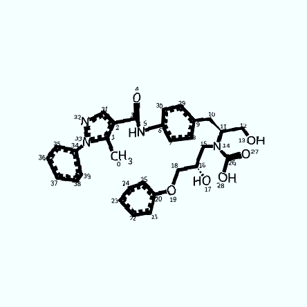 Cc1c(C(=O)Nc2ccc(C[C@@H](CO)N(C[C@H](O)COc3ccccc3)C(=O)O)cc2)cnn1-c1ccccc1